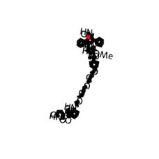 CO[C@@H]1[C@H](N(C)C(=O)c2ccc(OCCOCCOCCOCCOCCNc3cccc4c3C(=O)N(C3CCC(=O)NC3=O)C4=O)cc2)C[C@H]2O[C@]1(C)n1c3ccccc3c3c4c(c5c6ccccc6n2c5c31)C(=O)NC4